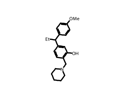 CCC(c1ccc(OC)cc1)c1ccc(CN2CCCCC2)c(O)c1